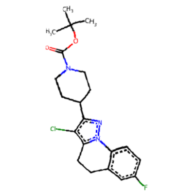 CC(C)(C)OC(=O)N1CCC(c2nn3c(c2Cl)CCc2cc(F)ccc2-3)CC1